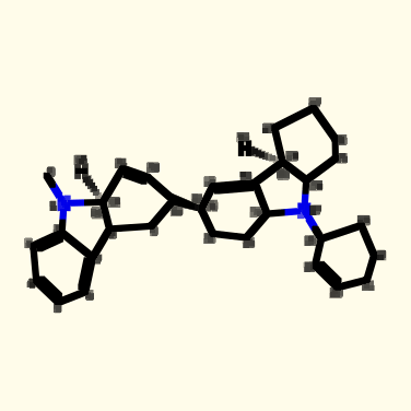 CN1c2ccccc2C2CC([C@H]3C=C4C(CC3)N(C3C=CCCC3)C3CCCC[C@H]43)C=C[C@@H]21